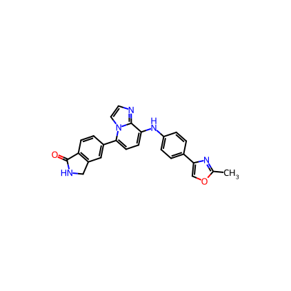 Cc1nc(-c2ccc(Nc3ccc(-c4ccc5c(c4)CNC5=O)n4ccnc34)cc2)co1